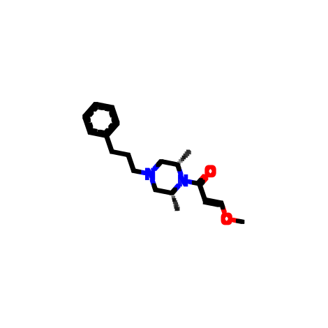 COC=CC(=O)N1[C@H](C)CN(CCCc2ccccc2)C[C@@H]1C